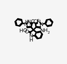 Cc1nn(-c2ccccc2)c(N)c1C1(c2c(C(F)(F)F)nn(-c3ccccc3)c2O)C(=O)Nc2ccccc21